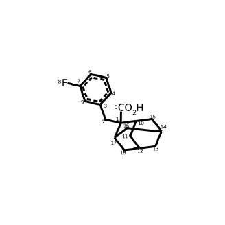 O=C(O)C1(Cc2cccc(F)c2)C2CC3CC(C2)CC1C3